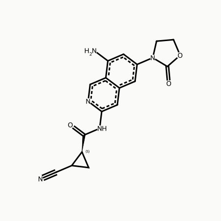 N#CC1C[C@@H]1C(=O)Nc1cc2cc(N3CCOC3=O)cc(N)c2cn1